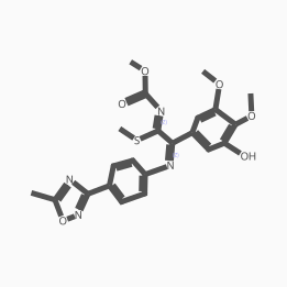 COC(=O)/N=C(SC)/C(=N\c1ccc(-c2noc(C)n2)cc1)c1cc(O)c(OC)c(OC)c1